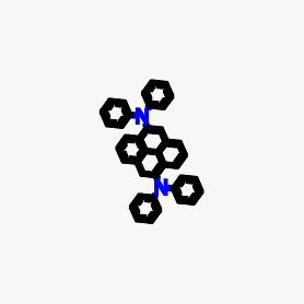 C1=CC2=C(N(c3ccccc3)c3ccccc3)Cc3cccc4c3C2C(=C1)C=C4N(c1ccccc1)c1ccccc1